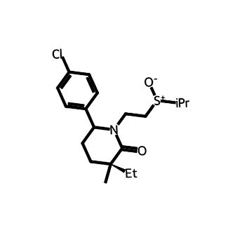 CC[C@@]1(C)CCC(c2ccc(Cl)cc2)N(CC[S+]([O-])C(C)C)C1=O